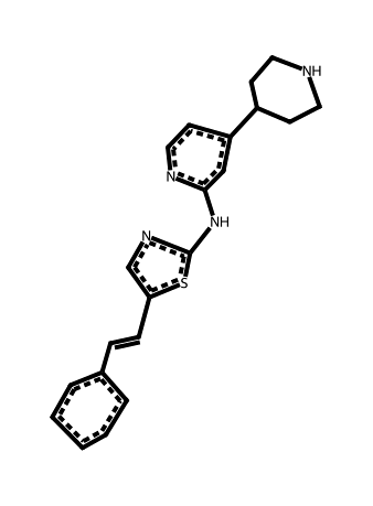 C(=Cc1cnc(Nc2cc(C3CCNCC3)ccn2)s1)c1ccccc1